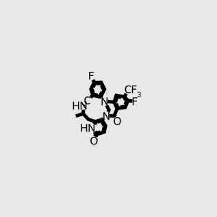 CC1Cc2[nH]c(=O)ccc2N2CN(c3ccc(F)cc3CN1)c1cc(C(F)(F)F)c(F)cc1C2=O